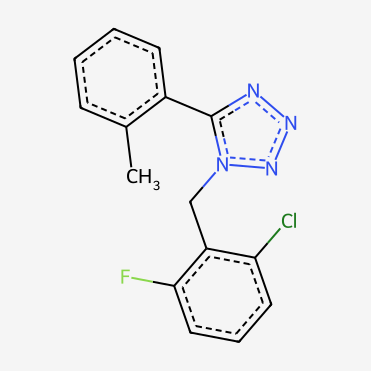 Cc1ccccc1-c1nnnn1Cc1c(F)cccc1Cl